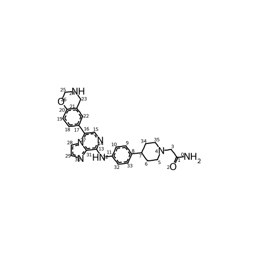 NC(=O)CN1CCC(c2ccc(Nc3ncc(-c4ccc5c(c4)CNCO5)n4ccnc34)cc2)CC1